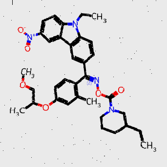 CCC1CCCN(C(=O)O/N=C(/c2ccc3c(c2)c2cc([N+](=O)[O-])ccc2n3CC)c2ccc(OC(C)COC)cc2C)C1